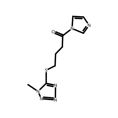 Cn1nnnc1SCCCC(=O)n1ccnc1